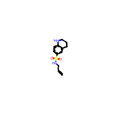 C=CCNS(=O)(=O)c1ccc2c(c1)CCCN2